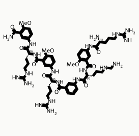 COc1ccc(NC(=O)[C@@H](CCCNC(=N)N)NC(=O)c2cc(NC(=O)[C@@H](CCCNC(=N)N)NC(=O)c3cccc(NC(=O)[C@@H](CCCNCN)NC(=O)c4cc(NC(=O)[C@H](N)CCCNC(=N)N)ccc4OC)c3)ccc2OC)cc1C(N)=O